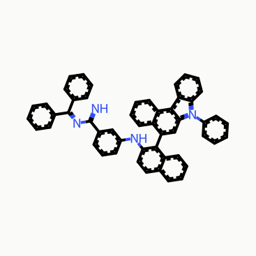 N=C(N=C(c1ccccc1)c1ccccc1)c1cccc(Nc2ccc3ccccc3c2-c2cc3c(c4ccccc24)c2ccccc2n3-c2ccccc2)c1